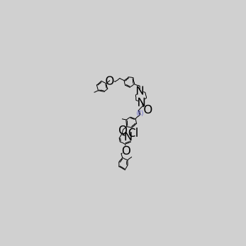 Cc1ccc(OCCc2ccc(CN3CCN(C(=O)/C=C/c4cc(C)c(Oc5ccc(OCc6ccccc6C)cn5)c(Cl)c4)CC3)cc2)cc1